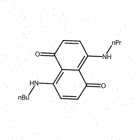 CCCCNC1=C2C(=O)C=CC(NCCC)=C2C(=O)C=C1